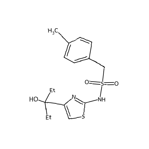 CCC(O)(CC)c1csc(NS(=O)(=O)Cc2ccc(C)cc2)n1